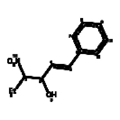 CCC(C(O)C=Cc1ccccc1)[N+](=O)[O-]